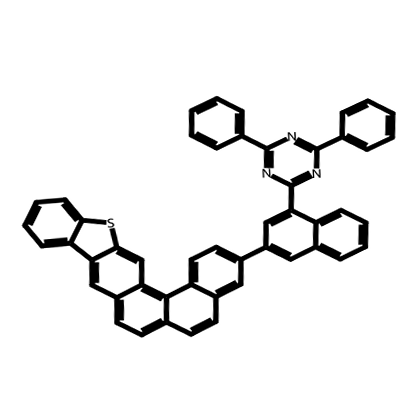 c1ccc(-c2nc(-c3ccccc3)nc(-c3cc(-c4ccc5c(ccc6ccc7cc8c(cc7c65)sc5ccccc58)c4)cc4ccccc34)n2)cc1